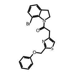 O=C(Cc1csc(COc2ccccc2)n1)N1CCc2cccc(Br)c21